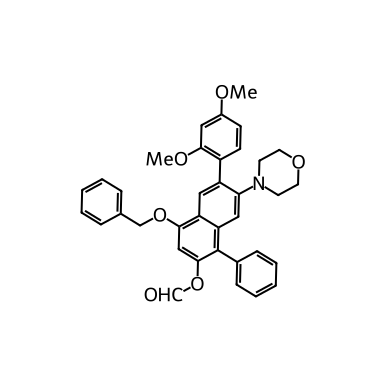 COc1ccc(-c2cc3c(OCc4ccccc4)cc(OC=O)c(-c4ccccc4)c3cc2N2CCOCC2)c(OC)c1